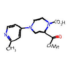 COC(=O)C1CN(c2ccnc(C)c2)CCN1C(=O)O